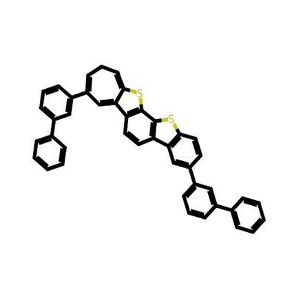 C1=C(c2cccc(-c3ccccc3)c2)C=c2c(sc3c2ccc2c4cc(-c5cccc(-c6ccccc6)c5)ccc4sc23)=CC1